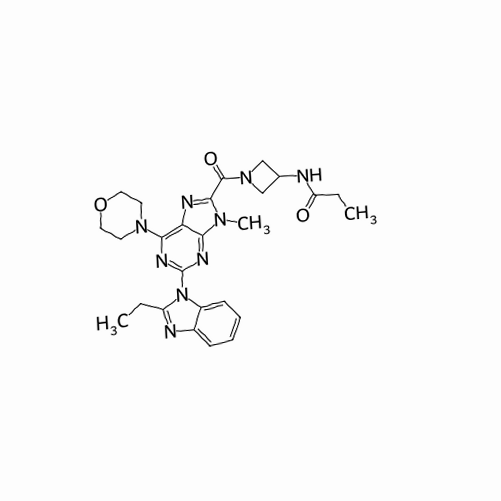 CCC(=O)NC1CN(C(=O)c2nc3c(N4CCOCC4)nc(-n4c(CC)nc5ccccc54)nc3n2C)C1